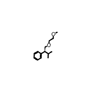 COCCOC[C@H](c1ccccc1)C(C)C